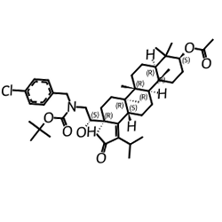 CC(=O)O[C@H]1CC[C@]2(C)[C@H]3CC[C@@H]4C5=C(C(C)C)C(=O)C[C@]5([C@H](O)CN(Cc5ccc(Cl)cc5)C(=O)OC(C)(C)C)CC[C@@]4(C)[C@]3(C)CC[C@H]2C1(C)C